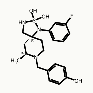 C[C@H]1C[C@]2(CCN1Cc1ccc(O)cc1)CNS(O)(O)N2c1cccc(F)c1